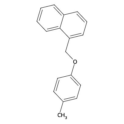 Cc1ccc(OCc2cccc3ccccc23)cc1